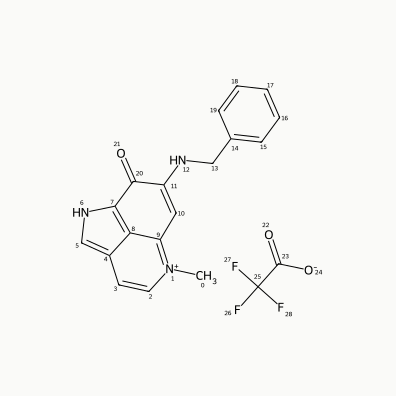 C[n+]1ccc2c[nH]c3c2c1C=C(NCc1ccccc1)C3=O.O=C([O-])C(F)(F)F